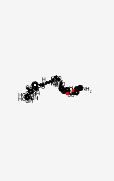 CC(C)[C@H](NC(=O)[C@H](N)CCCCNC(=O)COC1CCCCCC2C1N=NN2[C@H]1O[C@H](CO)[C@@H](O[C@H]2O[C@H](CO)[C@@H](O)[C@H](O)[C@H]2O)[C@H](O)[C@H]1O)C(=O)N[C@@H](C)C(=O)Nc1ccc2c(c1)[C@@]1(C)CCC[C@](C)(C(=O)NC(=O)[C@@]3(C)CCC[C@]4(C)c5cc(N)ccc5CC[C@@H]34)[C@@H]1CC2